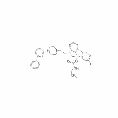 O=C(NCC(F)(F)F)OC1(CCCCN2CCN(c3cccc(-c4ccccc4)c3)CC2)c2ccccc2-c2ccc(F)cc21